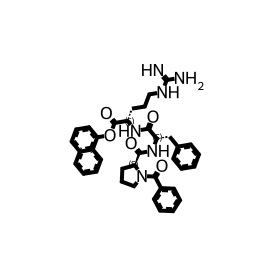 N=C(N)NCCC[C@H](NC(=O)[C@H](Cc1ccccc1)NC(=O)[C@@H]1CCCN1C(=O)c1ccccc1)C(=O)Oc1cccc2ccccc12